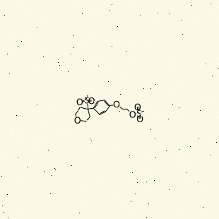 CS(=O)(=O)OCCOc1ccc(C2(S(C)(=O)=O)CCOCC2)cc1